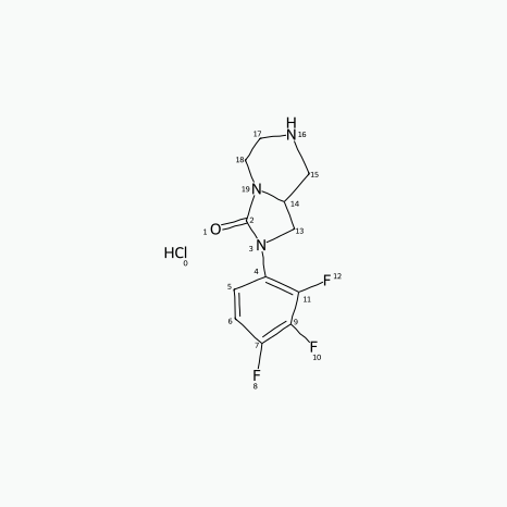 Cl.O=C1N(c2ccc(F)c(F)c2F)CC2CNCCN12